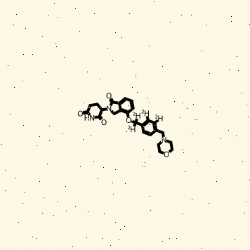 [2H]c1c(CN2CCOCC2)ccc(C([2H])([2H])Oc2cccc3c2CN(C2CCC(=O)NC2=O)C3=O)c1[2H]